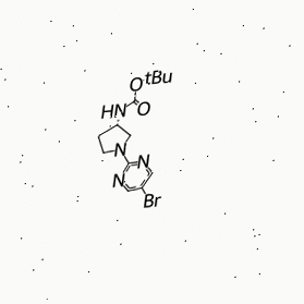 CC(C)(C)OC(=O)N[C@H]1CCN(c2ncc(Br)cn2)C1